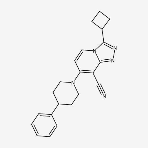 N#Cc1c(N2CCC(c3ccccc3)CC2)ccn2c(C3CCC3)nnc12